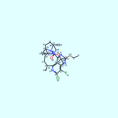 CCSc1nc2c3c(nc(Cl)c(F)c3n1)[C@@H](C)CC[C@@H]1[C@@H]3CC[C@H](CN21)N3C(=O)OC(C)(C)C